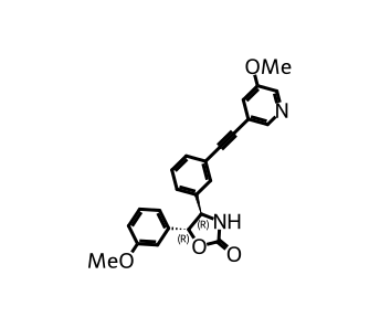 COc1cncc(C#Cc2cccc([C@H]3NC(=O)O[C@@H]3c3cccc(OC)c3)c2)c1